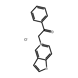 O=C(C[n+]1ccc2sccc2c1)c1ccccc1.[Cl-]